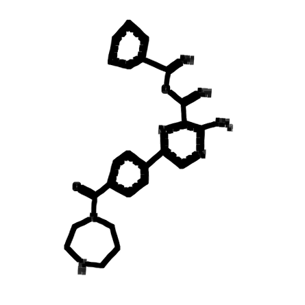 N=C(OC(=N)c1nc(-c2ccc(C(=O)N3CCCNCC3)cc2)cnc1N)c1ccccc1